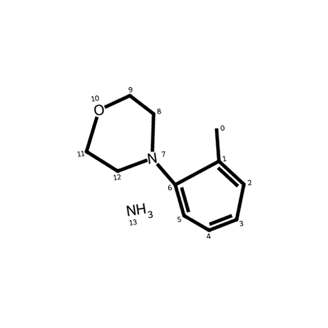 Cc1ccccc1N1CCOCC1.N